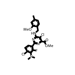 COC(=O)c1nc(-c2ccc(Cl)c(N(C)C)c2F)nc(NCc2ccc(C)cc2OC)c1Cl